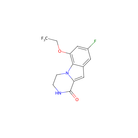 O=C1NCCn2c1cc1cc(F)cc(OCC(F)(F)F)c12